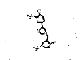 Fc1ccc(C(F)(F)F)cc1Cn1cnc(-c2ccc(Cl)c(C(F)(F)F)c2)c1